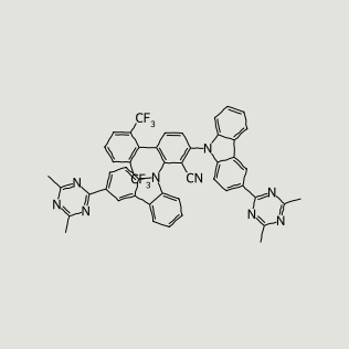 Cc1nc(C)nc(-c2ccc3c(c2)c2ccccc2n3-c2ccc(-c3c(C(F)(F)F)cccc3C(F)(F)F)c(-n3c4ccccc4c4cc(-c5nc(C)nc(C)n5)ccc43)c2C#N)n1